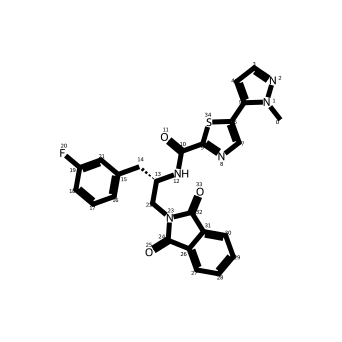 Cn1nccc1-c1cnc(C(=O)N[C@@H](Cc2cccc(F)c2)CN2C(=O)c3ccccc3C2=O)s1